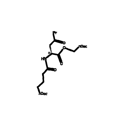 CCCCCCCCCCCCCC(=O)N[C@H](CC(=O)C(C)C)C(=O)OCCCCCCCCCCC